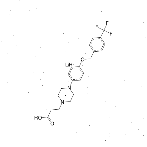 O=C(O)CCN1CCN(c2ccc(OCc3ccc(C(F)(F)F)cc3)cc2)CC1.[LiH]